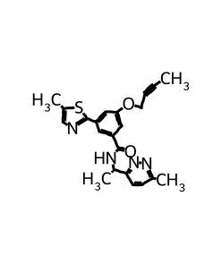 CC#CCOc1cc(C(=O)N[C@H](C)c2ccc(C)nn2)cc(-c2ncc(C)s2)c1